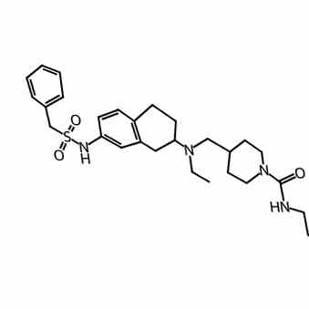 CCCNC(=O)N1CCC(CN(CC)C2CCc3ccc(NS(=O)(=O)Cc4ccccc4)cc3C2)CC1